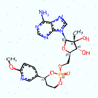 COc1ccc([C@@H]2CCO[P@](=O)(OC[C@H]3O[C@@H](n4cnc5c(N)ncnc54)[C@](C)(O)[C@@H]3O)O2)cn1